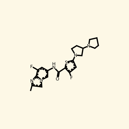 Cc1cn2cc(NC(=O)c3sc(N4CCC(N5CCCC5)C4)cc3F)cc(F)c2n1